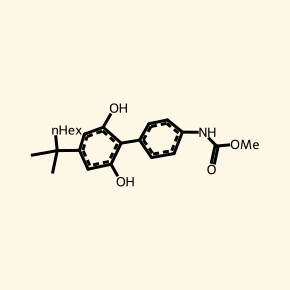 CCCCCCC(C)(C)c1cc(O)c(-c2ccc(NC(=O)OC)cc2)c(O)c1